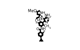 C=CC(=O)[C@@]1(COc2c(N)ncnc2-c2cc(F)cc(NC(=O)c3ccc(C4CC4)cc3F)c2C)C[C@H](OC)CN1